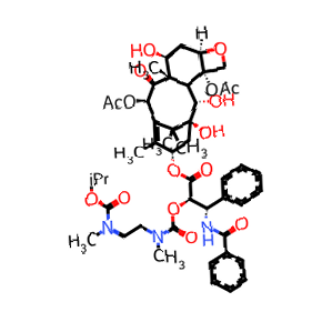 CC(=O)O[C@H]1C(=O)[C@@]2(C)C([C@H](O)[C@]3(O)C[C@H](OC(=O)[C@H](OC(=O)N(C)CCN(C)C(=O)OC(C)C)[C@@H](NC(=O)c4ccccc4)c4ccccc4)C(C)=C1C3(C)C)[C@]1(OC(C)=O)CO[C@@H]1C[C@@H]2O